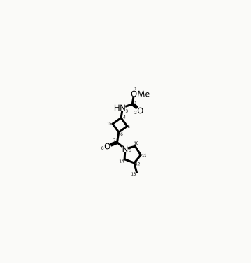 COC(=O)NC1CC(C(=O)N2CCC(C)C2)C1